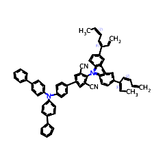 C=C/C=C\C(=C/C)c1ccc2c(c1)c1cc(/C(C=C)=C/C=C\C)ccc1n2-c1c(C#N)cc(-c2ccc(N(c3ccc(-c4ccccc4)cc3)c3ccc(-c4ccccc4)cc3)cc2)cc1C#N